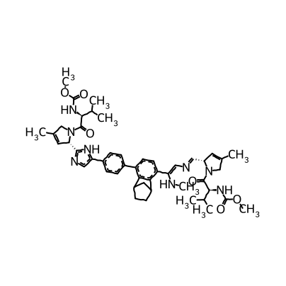 CN/C(=C\N=C\[C@@H]1C=C(C)CN1C(=O)[C@@H](NC(=O)OC)C(C)C)c1ccc(-c2ccc(-c3cnc([C@@H]4C=C(C)CN4C(=O)[C@@H](NC(=O)OC)C(C)C)[nH]3)cc2)c2c1C1CCC2C1